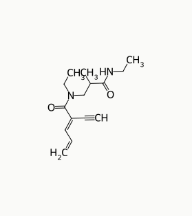 C#C/C(=C\C=C)C(=O)N(CC)CC(C)C(=O)NCC